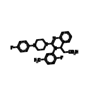 O=C(O)CC1c2ccccc2N=C(N2CCN(c3ccc(F)cc3)CC2)N1c1cc(C(F)(F)F)ccc1F